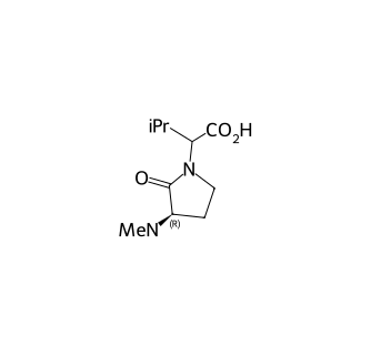 CN[C@@H]1CCN(C(C(=O)O)C(C)C)C1=O